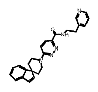 O=C(NCCc1cccnc1)c1ccc(N2CCC3(C=Cc4ccccc43)CC2)nn1